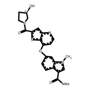 CNC(=O)c1cn(C)c2cc(Oc3ccnc4cc(C(=O)N5CC[C@@H](O)C5)sc34)ccc12